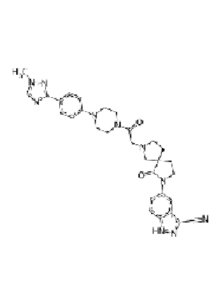 Cn1cnc(-c2ccc(N3CCN(C(=O)CN4CC[C@]5(CCN(c6ccc7[nH]nc(C#N)c7c6)C5=O)C4)CC3)cc2)n1